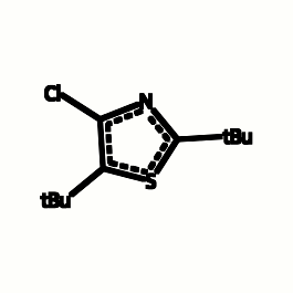 CC(C)(C)c1nc(Cl)c(C(C)(C)C)s1